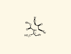 CC(C)C[C@H](NC(=O)OC(C)(C)C)C(=O)O.[N-]=[N+]=CC(=O)C=[N+]=[N-]